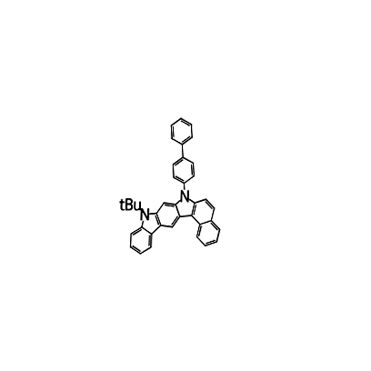 CC(C)(C)n1c2ccccc2c2cc3c4c5ccccc5ccc4n(-c4ccc(-c5ccccc5)cc4)c3cc21